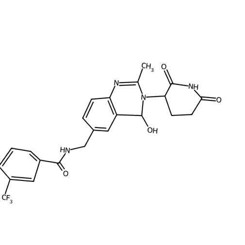 CC1=Nc2ccc(CNC(=O)c3cccc(C(F)(F)F)c3)cc2C(O)N1C1CCC(=O)NC1=O